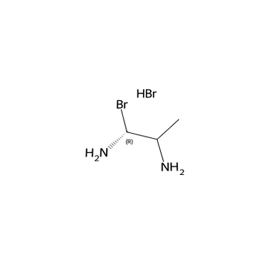 Br.CC(N)[C@H](N)Br